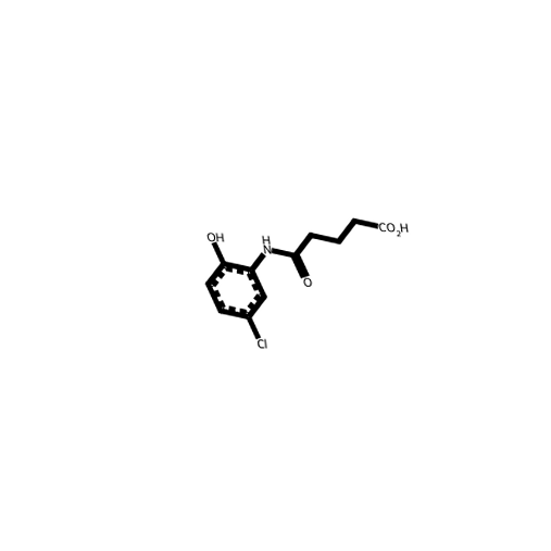 O=C(O)CCCC(=O)Nc1cc(Cl)ccc1O